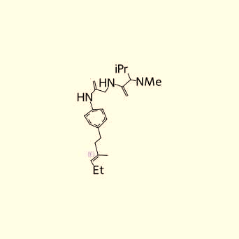 C=C(CNC(=C)C(NC)C(C)C)Nc1ccc(CC/C(C)=C/CC)cc1